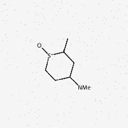 CNC1CC[S+]([O-])C(C)C1